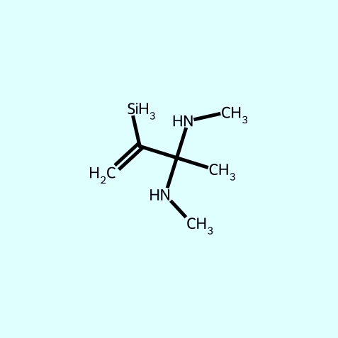 C=C([SiH3])C(C)(NC)NC